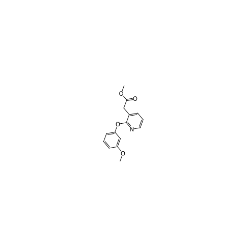 COC(=O)Cc1cccnc1Oc1cccc(OC)c1